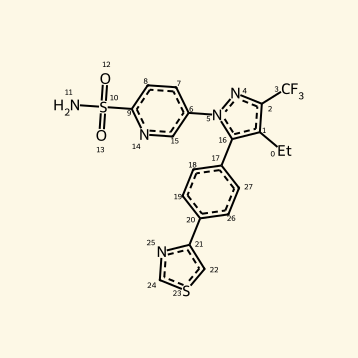 CCc1c(C(F)(F)F)nn(-c2ccc(S(N)(=O)=O)nc2)c1-c1ccc(-c2cscn2)cc1